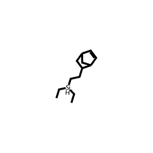 CC[SiH](CC)CCC1CC2C=CC1C2